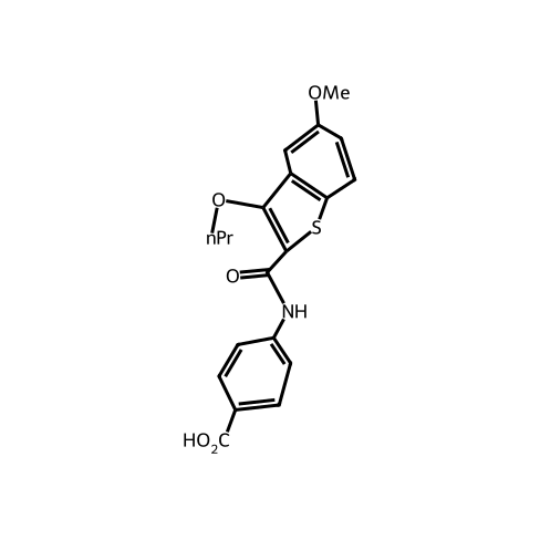 CCCOc1c(C(=O)Nc2ccc(C(=O)O)cc2)sc2ccc(OC)cc12